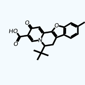 Cc1ccc2c3c(oc2c1)-c1cc(=O)c(C(=O)O)cn1C(C(C)(C)C)C3